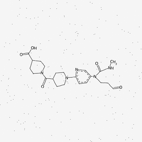 CNC(=O)N(CCC=O)c1ccc(N2CCC(C(=O)N3CCC(C(=O)O)CC3)CC2)nc1